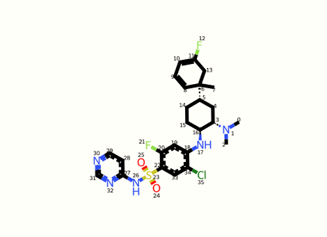 CN(C)[C@H]1C[C@@H](C2(C)C=CC=C(F)C2)CC[C@@H]1Nc1cc(F)c(S(=O)(=O)Nc2ccncn2)cc1Cl